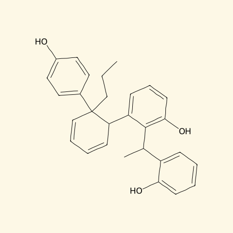 CCCC1(c2ccc(O)cc2)C=CC=CC1c1cccc(O)c1C(C)c1ccccc1O